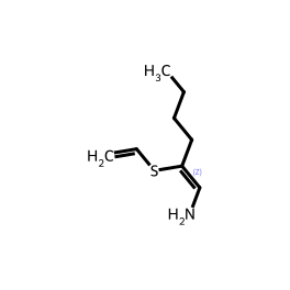 C=CS/C(=C\N)CCCC